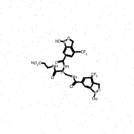 O=C(O)CCNC(=O)[C@H](CNC(=O)c1cc2c(c(C(F)(F)F)c1)COB2O)NC(=O)c1cc2c(c(C(F)(F)F)c1)COB2O